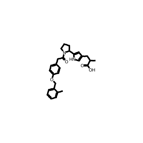 Cc1ccccc1COc1ccc(CC(=O)N2CCCC2c2cc(CC(C)C(=O)O)c[nH]2)cc1